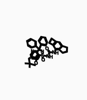 CC1(C)COc2c(S(=O)(=NC(c3ccccc3)(c3ccccc3)c3ccccc3)NC(=O)Nc3c4c(cc5c3CC5)CCC4)cnn2C1